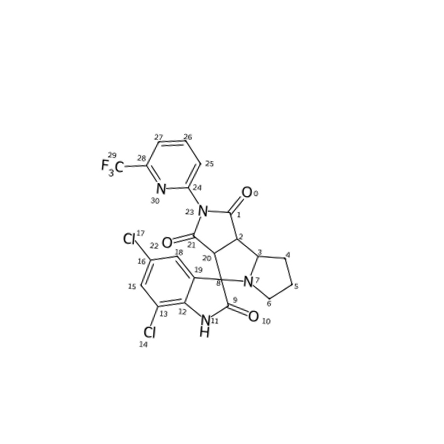 O=C1C2C3CCCN3C3(C(=O)Nc4c(Cl)cc(Cl)cc43)C2C(=O)N1c1cccc(C(F)(F)F)n1